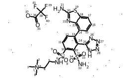 C[N+](C)(C)CCNS(=O)(=O)c1ccc(-c2cccc3sc(N)nc23)c(-c2nnn[nH]2)c1S(N)(=O)=O.O=C([O-])C(F)(F)F